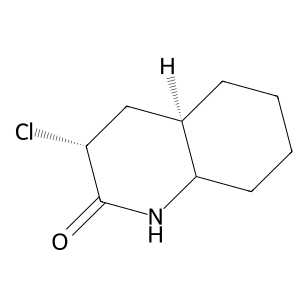 O=C1NC2CCCC[C@@H]2C[C@H]1Cl